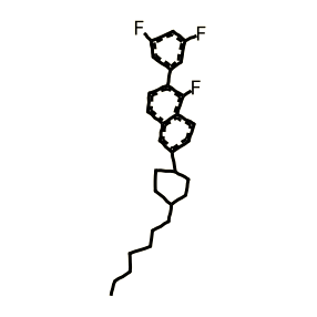 CCCCCCCC1CCC(c2ccc3c(F)c(-c4cc(F)cc(F)c4)ccc3c2)CC1